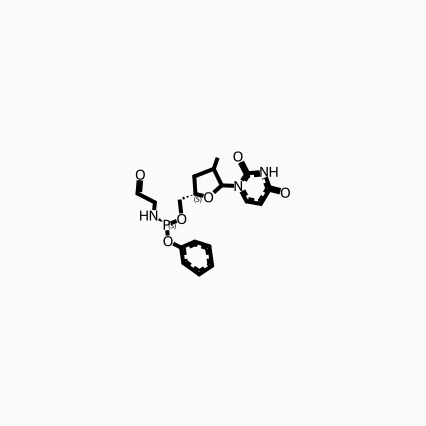 CC1C[C@@H](CO[P@@](NCC=O)Oc2ccccc2)OC1n1ccc(=O)[nH]c1=O